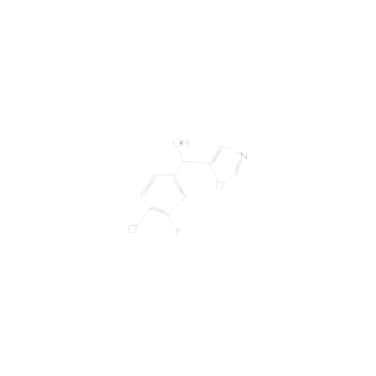 OC(c1ccc(Cl)c(F)c1)c1cnco1